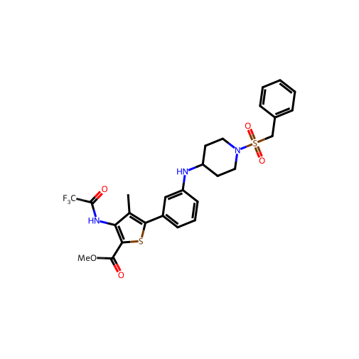 COC(=O)c1sc(-c2cccc(NC3CCN(S(=O)(=O)Cc4ccccc4)CC3)c2)c(C)c1NC(=O)C(F)(F)F